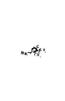 COc1c(C)n(CCN=[N+]=[N-])ccc1=O